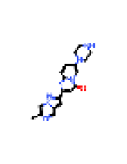 Cc1cn2nc(-c3cc(=O)n4cc(N5CCNCC5)ccc4n3)cc2cn1